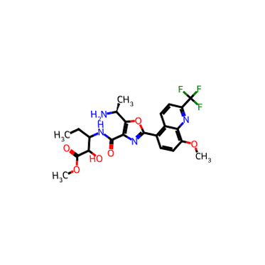 CCC(NC(=O)c1nc(-c2ccc(OC)c3nc(C(F)(F)F)ccc23)oc1[C@H](C)N)C(O)C(=O)OC